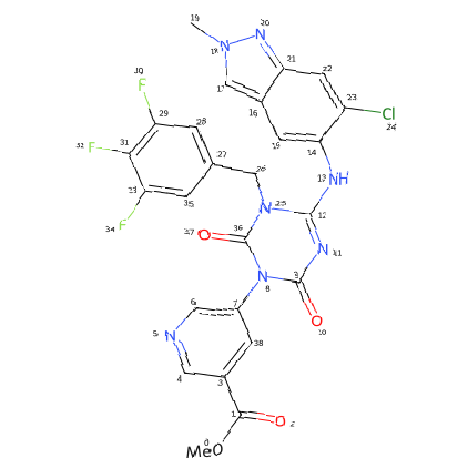 COC(=O)c1cncc(-n2c(=O)nc(Nc3cc4cn(C)nc4cc3Cl)n(Cc3cc(F)c(F)c(F)c3)c2=O)c1